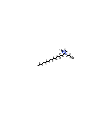 CCCCCCCCCCCCCCCc1n(CCCC)cc[n+]1C